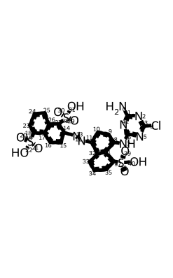 Nc1nc(Cl)nc(Nc2ccc(N=Nc3ccc4c(S(=O)(=O)O)cccc4c3S(=O)(=O)O)c3cccc(S(=O)(=O)O)c23)n1